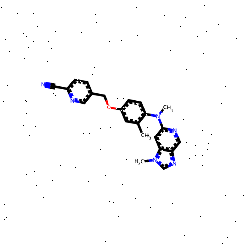 Cc1cc(OCc2ccc(C#N)nc2)ccc1N(C)c1cc2c(cn1)ncn2C